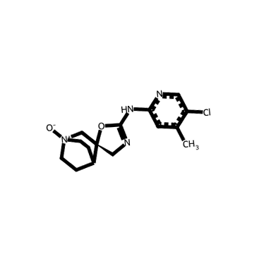 Cc1cc(NC2=NC[C@@]3(C[N+]4([O-])CCC3CC4)O2)ncc1Cl